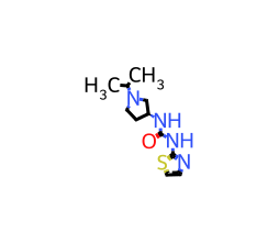 CC(C)N1CC[C@H](NC(=O)Nc2nccs2)C1